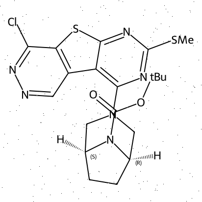 CSc1nc(N2C[C@H]3CC[C@@H](C2)N3C(=O)OC(C)(C)C)c2c(n1)sc1c(Cl)nncc12